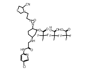 N#CC1CSCN1CCn1on1C1CCC(NCC(=O)Nc2ccc(Cl)cn2)CC1.O=C(O)C(F)(F)F.O=C(O)C(F)(F)F.O=C(O)C(F)(F)F